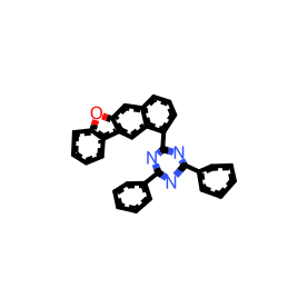 c1ccc(-c2nc(-c3ccccc3)nc(-c3cccc4cc5oc6ccccc6c5cc34)n2)cc1